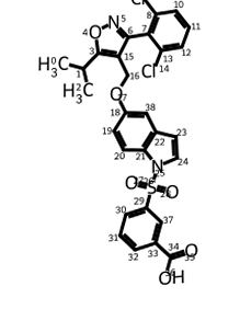 CC(C)c1onc(-c2c(Cl)cccc2Cl)c1COc1ccc2c(ccn2S(=O)(=O)c2cccc(C(=O)O)c2)c1